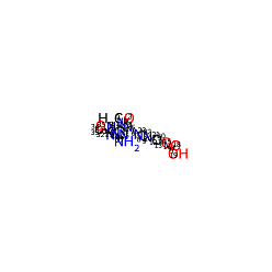 Cn1c(=O)n(CCN2CCN(c3ccc(OCC(=O)O)cc3)CC2)c2nc(N)n3nc(-c4ccco4)nc3c21